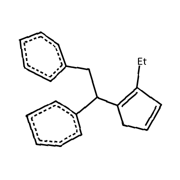 CCC1=C(C(Cc2ccccc2)c2ccccc2)CC=C1